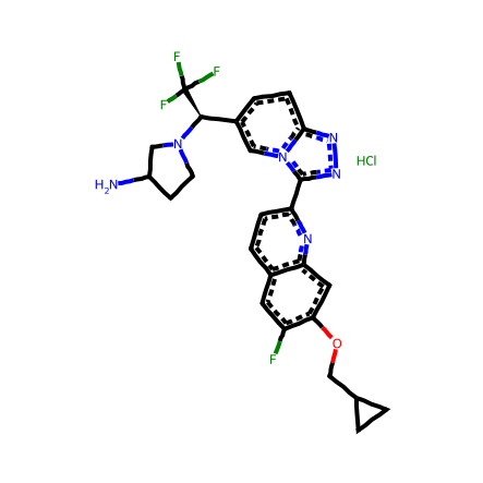 Cl.NC1CCN([C@H](c2ccc3nnc(-c4ccc5cc(F)c(OCC6CC6)cc5n4)n3c2)C(F)(F)F)C1